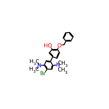 CN(C)c1cc(-c2ccc(OCc3ccccc3)c(O)c2)c(N(C)C)cc1Br